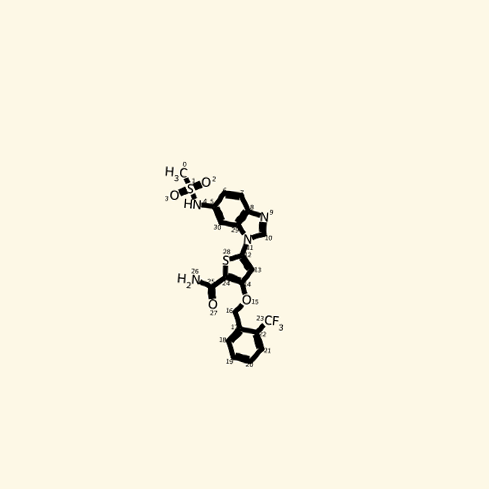 CS(=O)(=O)Nc1ccc2ncn(-c3cc(OCc4ccccc4C(F)(F)F)c(C(N)=O)s3)c2c1